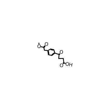 COC(=O)Cc1ccc(C(=O)CCC(=O)O)cc1